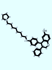 Oc1ccc2c(c1)C(c1ccc(SCCCCCCCCN3CCCC3)cc1)C(c1ccccc1)CO2